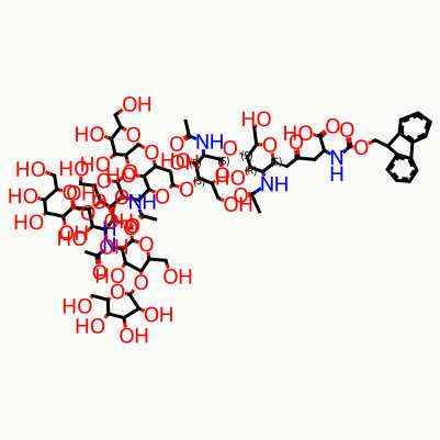 CC(=O)NC1C(OC2C(OCC3OC(O[C@@H]4C(CO)O[C@@H](O[C@@H]5C(CO)O[C@@H](CC(=O)CC(NC(=O)OCC6c7ccccc7-c7ccccc76)C(=O)O)C(NC(C)=O)[C@H]5O)C(NC(C)=O)[C@H]4O)C(O)C(OC4OC(CO)C(O)C(O)C4OC4OC(CO)C(OC5OC(CO)C(O)C(O)C5O)C(O)C4NC(C)=O)C3O)OC(CO)C(O)C2O)OC(CO)C(OC2OC(CO)C(O)C(O)C2O)C1O